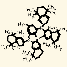 Cc1cc2c3c(c1)N(c1ccc4c(c1)C(C)(C)CCC4(C)C)c1cc4c(cc1B3c1cc3c(cc1N2c1ccc2c(c1)C(C)(C)CCC2(C)C)C(C)(C)CCC3)C(C)(C)CCC4(C)C